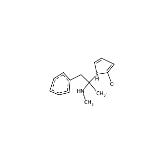 [CH2]C(Cc1ccccc1)(NC)[SH]1C=CC=C1Cl